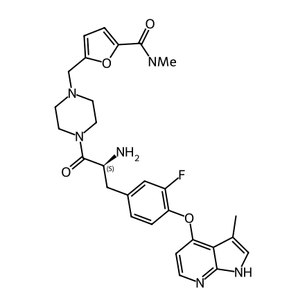 CNC(=O)c1ccc(CN2CCN(C(=O)[C@@H](N)Cc3ccc(Oc4ccnc5[nH]cc(C)c45)c(F)c3)CC2)o1